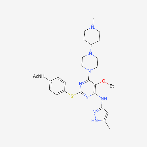 CCOc1c(Nc2cc(C)[nH]n2)nc(Sc2ccc(NC(C)=O)cc2)nc1N1CCN(C2CCN(C)CC2)CC1